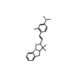 Cc1cc(N(C)C)ccc1C=CC1ON2c3ccccc3CC2C1(C)C